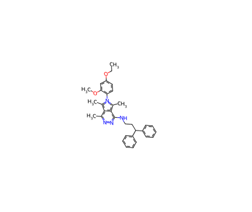 CCOc1ccc(-n2c(C)c3c(C)nnc(NCCC(c4ccccc4)c4ccccc4)c3c2C)c(OC)c1